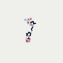 Cc1cc(S(N)(=O)=O)nn1CCC[C@@H]1CN(C(=O)OC(C)(C)C)C(C)(C)C1